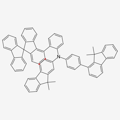 CC1(C)c2ccccc2-c2ccc(N(c3ccc(-c4cccc5c4C(C)(C)c4ccccc4-5)cc3)c3ccccc3-c3cccc4c3-c3ccccc3C43c4ccccc4-c4ccccc43)cc21